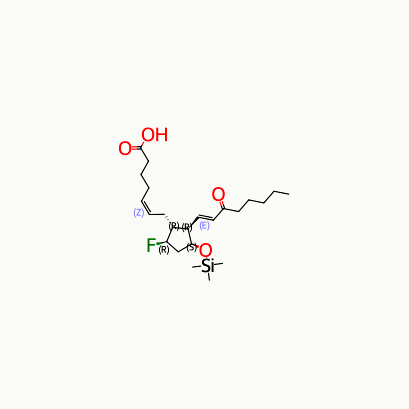 CCCCCC(=O)/C=C/[C@@H]1[C@@H](C/C=C\CCCC(=O)O)[C@H](F)C[C@@H]1O[Si](C)(C)C